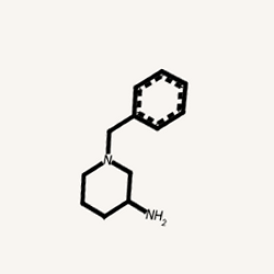 NC1[CH]CCN(Cc2ccccc2)C1